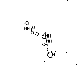 O=C(CCc1cccnc1)Nc1cc([C@H]2C[C@@H](OC(=O)NC3CCC3)C2)n[nH]1